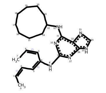 C\C=C/C=C(\C=C/C)Nc1nc(NC2CCCCCCCC2)c2nc[nH]c2n1